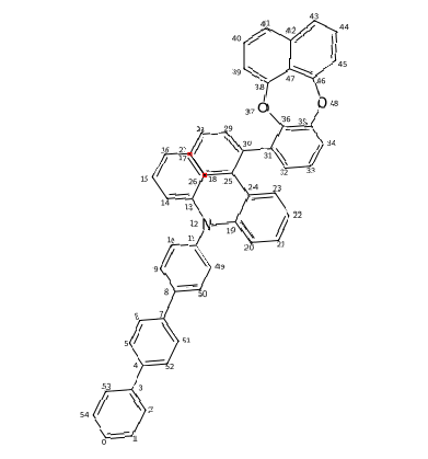 c1ccc(-c2ccc(-c3ccc(N(c4ccccc4)c4ccccc4-c4ccccc4-c4cccc5c4Oc4cccc6cccc(c46)O5)cc3)cc2)cc1